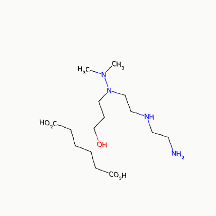 CN(C)N(CCCO)CCNCCN.O=C(O)CCCCC(=O)O